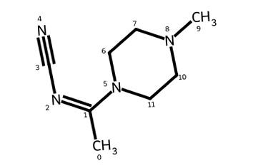 C/C(=N/C#N)N1CCN(C)CC1